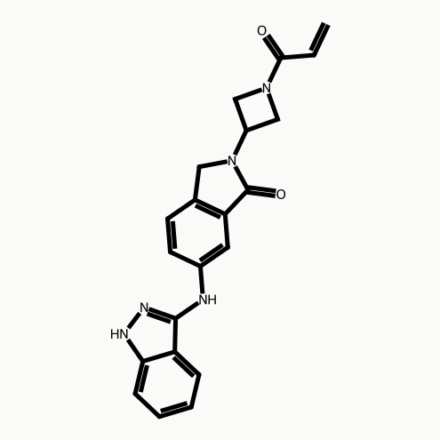 C=CC(=O)N1CC(N2Cc3ccc(Nc4n[nH]c5ccccc45)cc3C2=O)C1